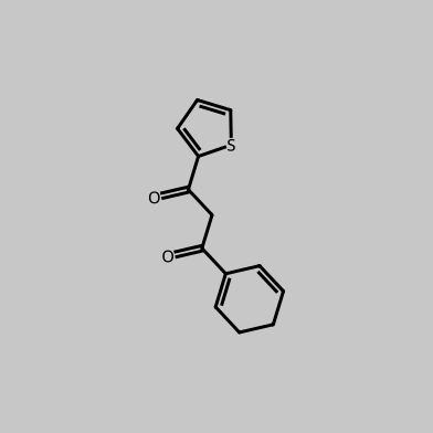 O=C(CC(=O)c1cccs1)C1=CCCC=C1